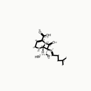 Br.CC(C)CCC=N[C@]1(CBr)C(=O)N2C(C(=O)O)=CCS[C@H]21